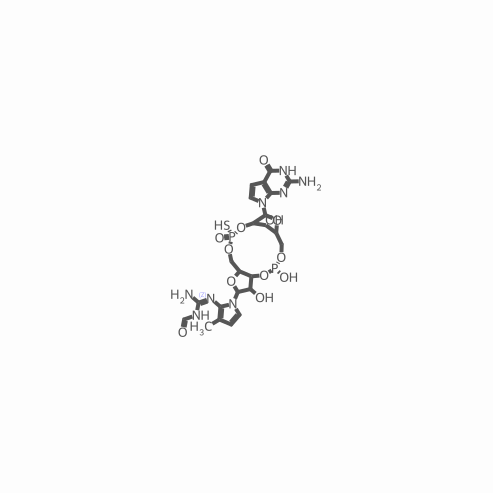 Cc1ccn(C2OC3COP(=O)(S)OC4C(O)C(COP(O)OC3C2O)OC4n2ccc3c(=O)[nH]c(N)nc32)c1/N=C(/N)NC=O